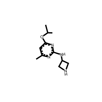 Cc1cc(OC(C)C)nc(NC2CNC2)n1